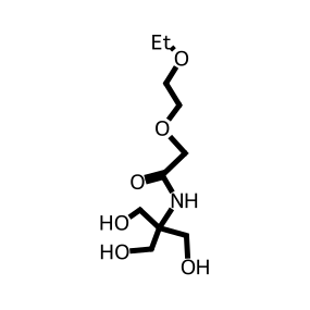 CCOCCOCC(=O)NC(CO)(CO)CO